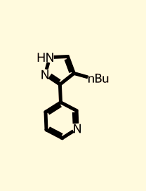 CCCCc1c[nH]nc1-c1cccnc1